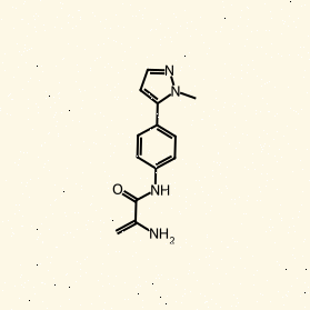 C=C(N)C(=O)Nc1ccc(-c2ccnn2C)cc1